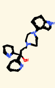 OC(CCN1CCN(c2cccc3[nH]ccc23)CC1)(c1ccccn1)c1ccccn1